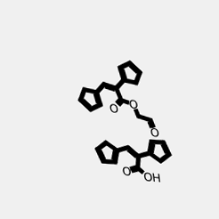 O=C(O)C(=CC1=CC=CC1)C1=CC=CC1.O=CCOC(=O)C(=CC1=CC=CC1)C1=CC=CC1